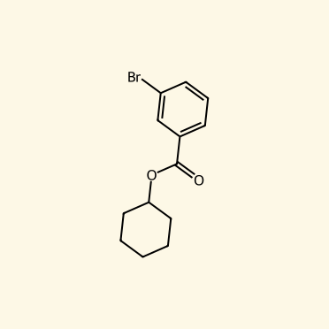 O=C(OC1CCCCC1)c1cccc(Br)c1